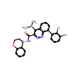 CN(C)c1c(C(=O)N[C@H]2CCOc3ccccc32)nnc2c(-c3cccc(Cl)c3Cl)cccc12